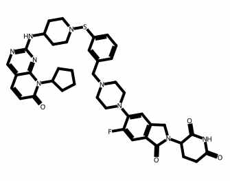 O=C1CCC(N2Cc3cc(N4CCN(Cc5cccc(SN6CCC(Nc7ncc8ccc(=O)n(C9CCCC9)c8n7)CC6)c5)CC4)c(F)cc3C2=O)C(=O)N1